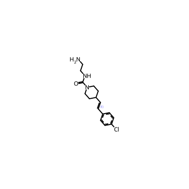 NCCNC(=O)N1CCC(/C=C/c2ccc(Cl)cc2)CC1